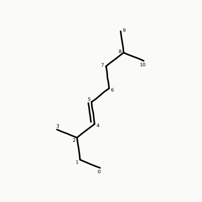 CCC(C)C=CCCC(C)C